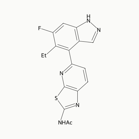 CCc1c(F)cc2[nH]ncc2c1-c1ccc2nc(NC(C)=O)sc2n1